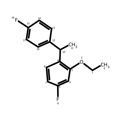 CCOc1cc(F)ccc1C(C)c1ccc(F)cc1